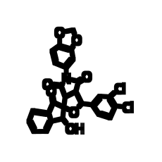 O=C1C2C(c3ccc(Cl)c(Cl)c3)OC3(C(=O)c4ccccc4C3O)C2C(=O)N1c1ccc2c(c1)OCO2